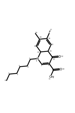 CCCCCCN1C=C(C(=O)O)C(=O)C2C=C(F)C(C)=CC21